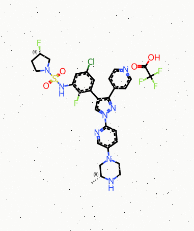 C[C@@H]1CN(c2ccc(-n3cc(-c4cc(Cl)cc(NS(=O)(=O)N5CC[C@@H](F)C5)c4F)c(-c4ccncc4)n3)nc2)CCN1.O=C(O)C(F)(F)F